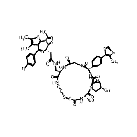 Cc1ncsc1-c1ccc([C@@H]2NC(=O)[C@@H]3C[C@@H](O)CN3C(=O)[C@H](C(C)(C)C)NC(=O)CSCCNC(=O)[C@@H](CNC(=O)C[C@@H]3N=C(c4ccc(Cl)cc4)c4c(sc(C)c4C)-n4c(C)nnc43)NC(=O)CNC2=O)cc1